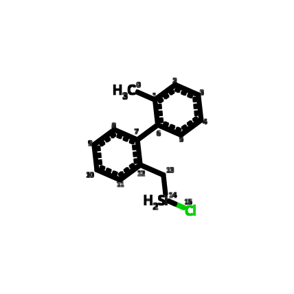 Cc1ccccc1-c1ccccc1C[SiH2]Cl